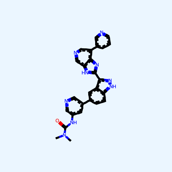 CN(C)C(=O)Nc1cncc(-c2ccc3[nH]nc(-c4nc5c(-c6cccnc6)cncc5[nH]4)c3c2)c1